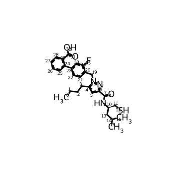 CCCCc1cc(C(=O)N[C@@H](CS)CC(C)C)nn1Cc1ccc(-c2ccccc2C(=O)O)cc1F